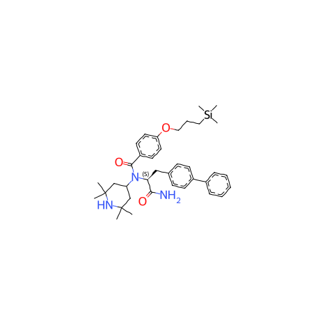 CC1(C)CC(N(C(=O)c2ccc(OCCC[Si](C)(C)C)cc2)[C@@H](Cc2ccc(-c3ccccc3)cc2)C(N)=O)CC(C)(C)N1